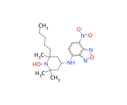 CCCCCC1(C)CC(Nc2ccc([N+](=O)[O-])c3nonc23)CC(C)(C)N1O